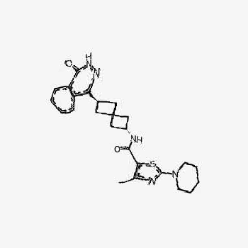 Cc1nc(N2CCCCC2)sc1C(=O)N[C@H]1CC2(C1)C[C@H](c1n[nH]c(=O)c3ccccc31)C2